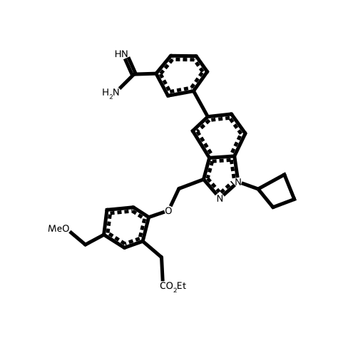 CCOC(=O)Cc1cc(COC)ccc1OCc1nn(C2CCC2)c2ccc(-c3cccc(C(=N)N)c3)cc12